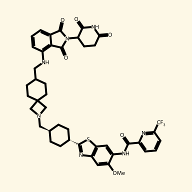 COc1cc2nc([C@H]3CC[C@H](CN4CC5(CCC(CNc6cccc7c6C(=O)N(C6CCC(=O)NC6=O)C7=O)CC5)C4)CC3)sc2cc1NC(=O)c1cccc(C(F)(F)F)n1